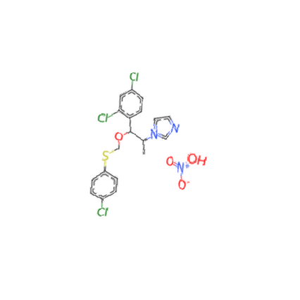 CC(C(OCSc1ccc(Cl)cc1)c1ccc(Cl)cc1Cl)n1ccnc1.O=[N+]([O-])O